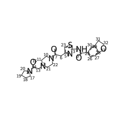 O=C(Nc1nc(CC(=O)N2CCN(CC(=O)N3CCCC3)CC2)cs1)c1ccc2c(c1)CCO2